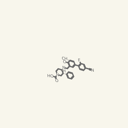 COc1ccc(-c2ccc(C#N)cc2F)cc1CN[C@H]1CCN(C(=O)O)C[C@H]1c1ccccc1